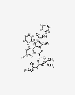 CC(C)OC(=O)C[C@H]1C[C@@H](CCn2c(-c3ccc(F)cc3)c(-c3ccccc3)c(C(=O)Nc3ccccc3)c2C(C)C)OC(C)(C)O1